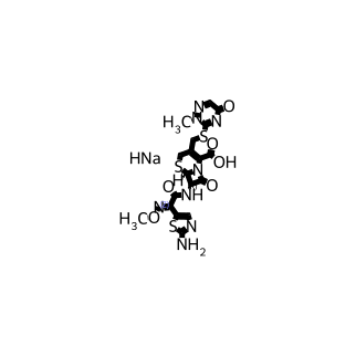 CO/N=C(/C(=O)N[C@@H]1C(=O)N2C(C(=O)O)=C(CSc3nc(=O)cnn3C)CS[C@H]12)c1cnc(N)s1.[NaH]